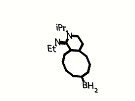 BC1CCCCC2/C(=N\CC)N(C(C)C)CCC2CCC1